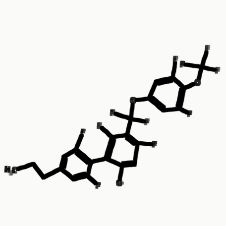 CCCc1cc(F)c(-c2c([O])cc(F)c(C(F)(F)Oc3cc(F)c(OC(F)(F)F)c(F)c3)c2F)c(F)c1